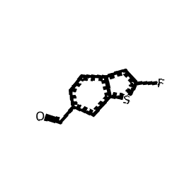 O=Cc1ccc2cc(F)sc2c1